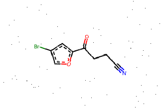 N#CCCC(=O)c1cc(Br)co1